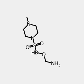 CN1CCN(S(=O)(=O)BOCN)CC1